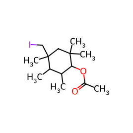 CC(=O)OC1C(C)C(C)C(C)(CI)CC1(C)C